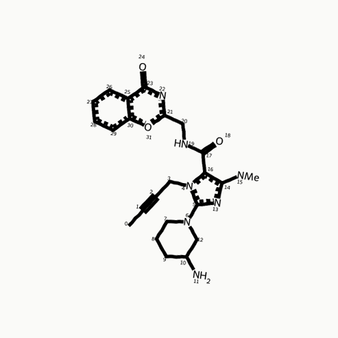 CC#CCn1c(N2CCCC(N)C2)nc(NC)c1C(=O)NCc1nc(=O)c2ccccc2o1